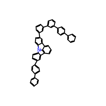 c1ccc(-c2ccc(-c3cccc(-c4cccc(-c5ccc6c(c5)c5cccc7c8cc(-c9ccc(-c%10ccccc%10)cc9)ccc8n6c75)c4)c3)cc2)cc1